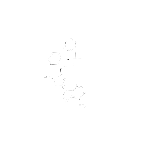 CC(C)(C)[Si](OC[C@H]1O[C@@H](n2cnc3c(N)ncnc32)CC1O)(c1ccccc1)c1ccccc1